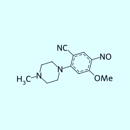 COc1cc(N2CCN(C)CC2)c(C#N)cc1N=O